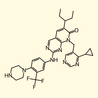 CCC(CC)c1cc2cnc(Nc3ccc(N4CCNCC4)c(C(F)(F)F)c3)nc2n(Cc2cncnc2C2CC2)c1=O